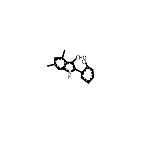 Cc1cc(C)c2c(C=O)c(-c3ccccc3Cl)[nH]c2c1